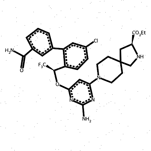 CCOC(=O)[C@@H]1CC2(CCN(c3cc(O[C@H](c4ccc(Cl)cc4-c4cccc(C(N)=O)c4)C(F)(F)F)nc(N)n3)CC2)CN1